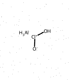 [AlH3].[O-][Cl+]O